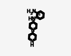 N[C@H]1CCCC[C@@H]1NC1CCN(C2CCNCC2)CC1